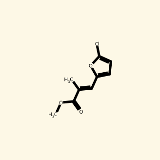 COC(=O)/C(C)=C/c1ccc(Cl)o1